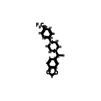 CC(c1ccc2c(c1)OCO2)N1CCN(c2ccc(C(F)(F)F)cn2)CC1